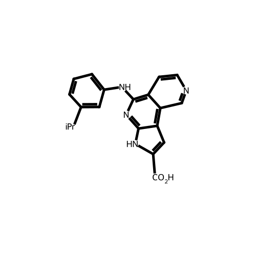 CC(C)c1cccc(Nc2nc3[nH]c(C(=O)O)cc3c3cnccc23)c1